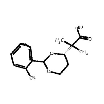 CCCCC(=O)C(C)(C)[C@@H]1CCOC(c2ccccc2C#N)O1